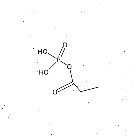 CCC(=O)OP(=O)(O)O